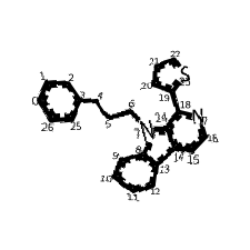 c1ccc(CCCn2c3ccccc3c3ccnc(-c4cccs4)c32)cc1